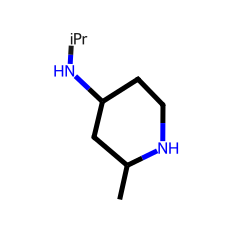 CC(C)NC1CCNC(C)C1